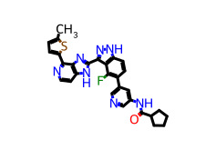 Cc1ccc(-c2nccc3[nH]c(-c4n[nH]c5ccc(-c6cncc(NC(=O)C7CCCC7)c6)c(F)c45)nc23)s1